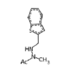 CC(=O)N(C)NCc1cc2ccccc2s1